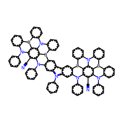 N#Cc1c2c3c4c5c1N(c1ccccc1)c1cc6c(cc1B5c1ccccc1N4c1ccccc1B3c1ccccc1N2c1ccccc1)c1cc2c(cc1n6-c1ccccc1)N(c1ccccc1)c1c(C#N)c3c4c5c1B2c1ccccc1N5c1ccccc1B4c1ccccc1N3c1ccccc1